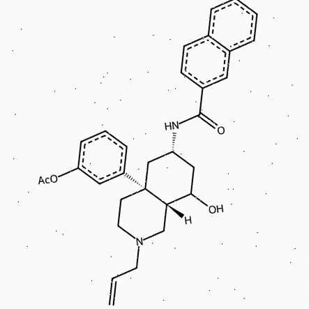 C=CCN1CC[C@@]2(c3cccc(OC(C)=O)c3)C[C@H](NC(=O)c3ccc4ccccc4c3)CC(O)[C@@H]2C1